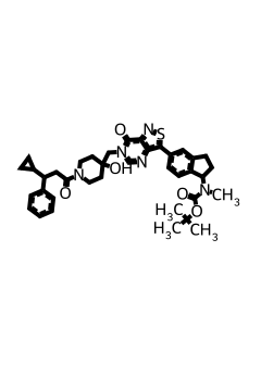 CN(C(=O)OC(C)(C)C)C1CCc2cc(-c3snc4c(=O)n(CC5(O)CCN(C(=O)CC(c6ccccc6)C6CC6)CC5)cnc34)ccc21